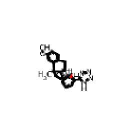 COc1ccc2c(c1)[C@@]1(C)CCN(C)[C@H](C2)C1(O)c1cccc(-c2nnn[nH]2)c1